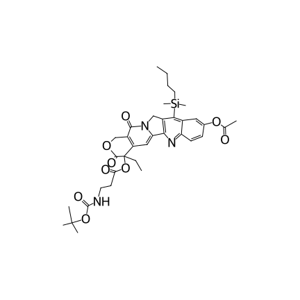 CCCC[Si](C)(C)c1c2c(nc3ccc(OC(C)=O)cc13)-c1cc3c(c(=O)n1C2)COC(=O)C3(CC)OC(=O)CCNC(=O)OC(C)(C)C